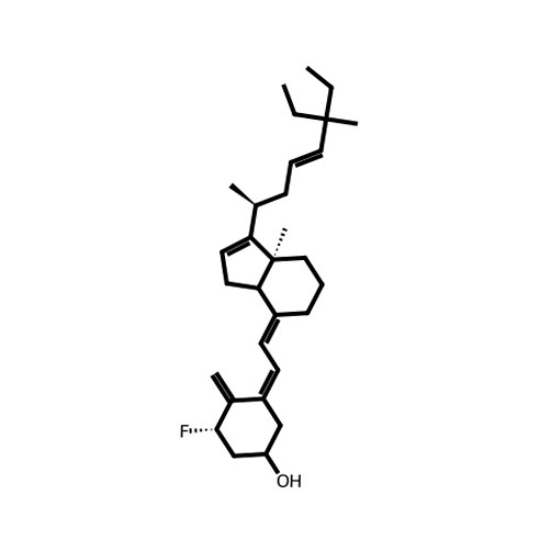 C=C1/C(=C\C=C2/CCC[C@]3(C)C([C@@H](C)C/C=C/C(C)(CC)CC)=CCC23)CC(O)C[C@@H]1F